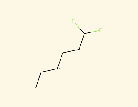 CC[CH]CCC(F)F